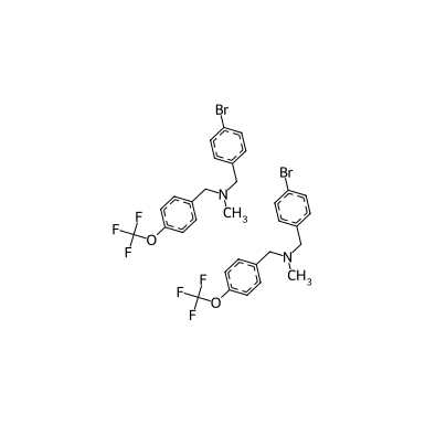 CN(Cc1ccc(Br)cc1)Cc1ccc(OC(F)(F)F)cc1.CN(Cc1ccc(Br)cc1)Cc1ccc(OC(F)(F)F)cc1